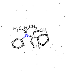 C=C[Si](C=C)(c1ccccc1)N(c1ccccc1)[SiH](C)C